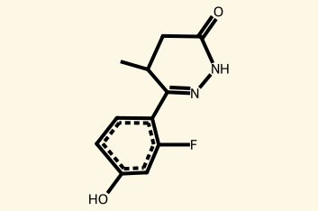 CC1CC(=O)NN=C1c1ccc(O)cc1F